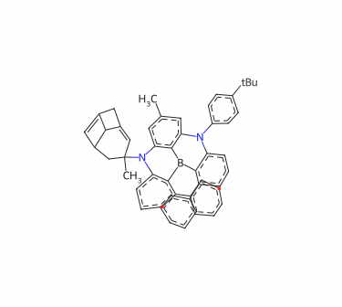 Cc1cc2c3c(c1)N(C1(C)C=C4CC5=CC(C1)C54)c1cccc(-c4ccccc4)c1B3c1c(-c3ccccc3)cccc1N2c1ccc(C(C)(C)C)cc1